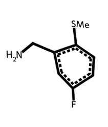 CSc1ccc(F)cc1CN